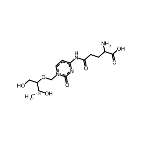 C[C@@H](O)C(CO)OCn1ccc(NC(=O)CCC(N)C(=O)O)nc1=O